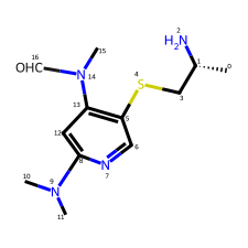 C[C@@H](N)CSc1cnc(N(C)C)cc1N(C)C=O